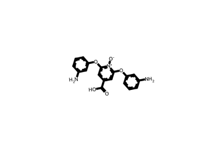 Nc1cccc(Oc2cc(C(=O)O)cc(Oc3cccc(N)c3)[n+]2[O-])c1